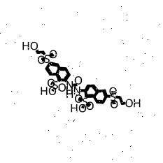 O=C(Nc1ccc2cc(S(=O)(=O)CCO)ccc2c1S(=O)(=O)O)Nc1ccc2cc(S(=O)(=O)CCO)ccc2c1S(=O)(=O)O